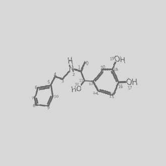 CC(NCCc1ccccc1)C(O)c1ccc(O)c(O)c1